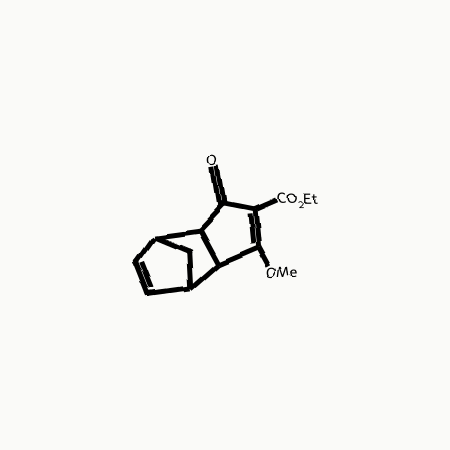 CCOC(=O)C1=C(OC)C2C3C=CC(C3)C2C1=O